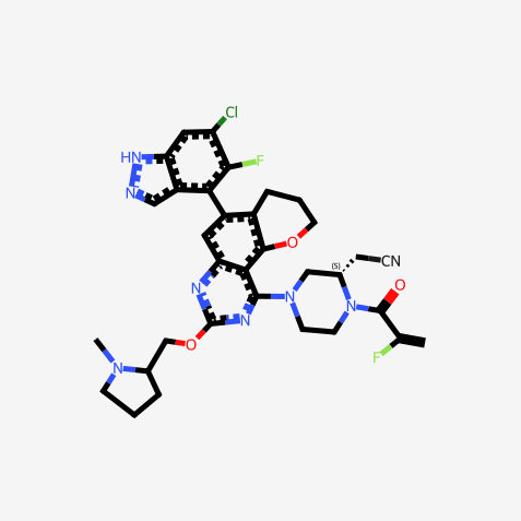 C=C(F)C(=O)N1CCN(c2nc(OCC3CCCN3C)nc3cc(-c4c(F)c(Cl)cc5[nH]ncc45)c4c(c23)OCCC4)C[C@@H]1CC#N